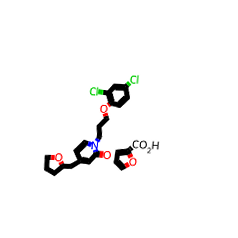 O=C(O)c1ccco1.O=c1cc(CC2CCCO2)ccn1CCCOc1ccc(Cl)cc1Cl